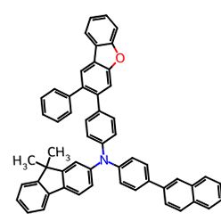 CC1(C)c2ccccc2-c2ccc(N(c3ccc(-c4ccc5ccccc5c4)cc3)c3ccc(-c4cc5oc6ccccc6c5cc4-c4ccccc4)cc3)cc21